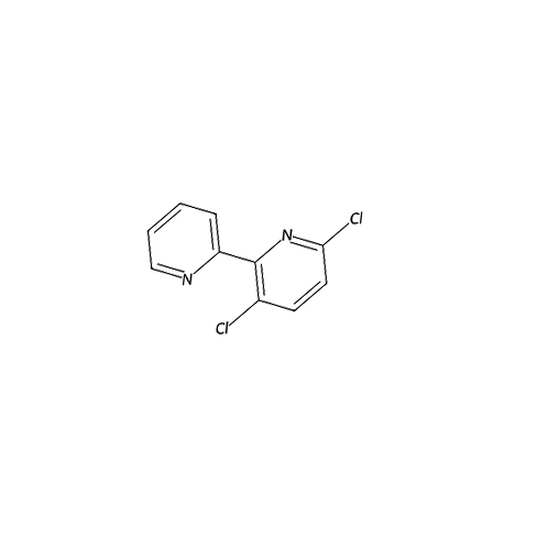 Clc1ccc(Cl)c(-c2ccccn2)n1